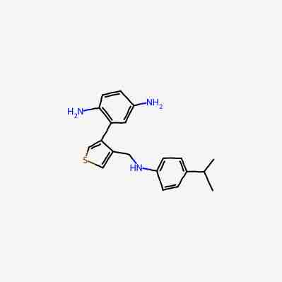 CC(C)c1ccc(NCc2cscc2-c2cc(N)ccc2N)cc1